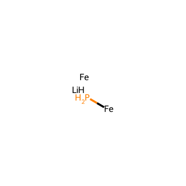 [Fe].[LiH].[PH2][Fe]